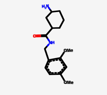 COc1ccc(CNC(=O)C2CCCC(N)C2)c(OC)c1